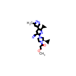 COCCC(=O)N1CCN(c2nc(C3CC3)c(-c3cnnc(C)c3)cc2C#N)C[C@H]1C1CC1